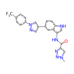 Cn1cc(C(=O)Nc2c[nH]c3ccc(-c4cnn(-c5ccc(C(F)(F)F)cc5)c4)cc23)nn1